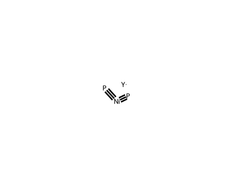 [P]#[Ni]#[P].[Y]